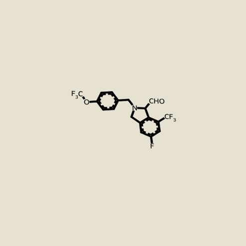 O=CC1c2c(cc(F)cc2C(F)(F)F)CN1Cc1ccc(OC(F)(F)F)cc1